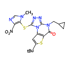 Cn1cnc([N+](=O)[O-])c1Sc1nnc2n(CC3CC3)c(=O)c3sc(C(C)(C)C)cc3n12